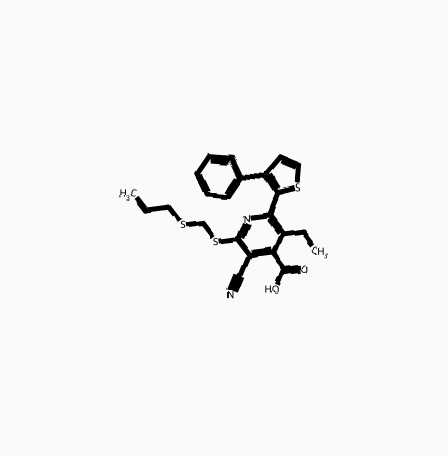 CCCSCSc1nc(-c2sccc2-c2ccccc2)c(CC)c(C(=O)O)c1C#N